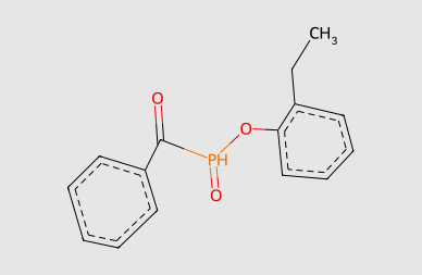 CCc1ccccc1O[PH](=O)C(=O)c1ccccc1